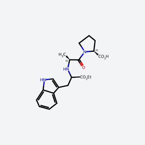 CCOC(=O)C(Cc1c[nH]c2ccccc12)N[C@@H](C)C(=O)N1CCC[C@H]1C(=O)O